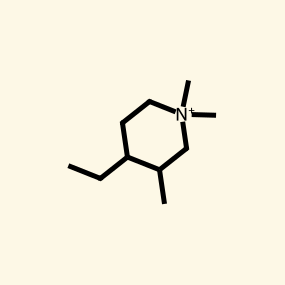 CCC1CC[N+](C)(C)CC1C